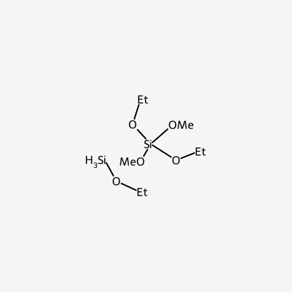 CCO[SiH3].CCO[Si](OC)(OC)OCC